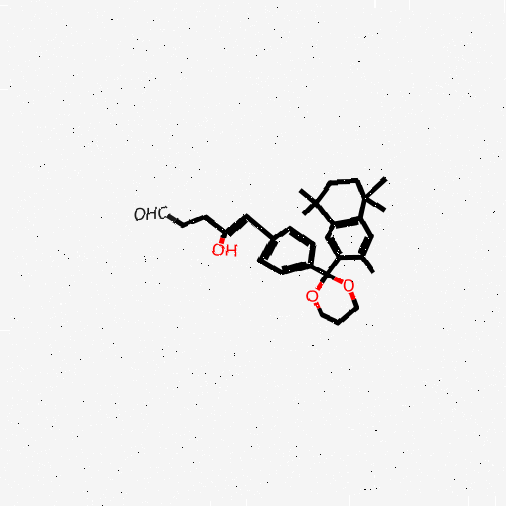 Cc1cc2c(cc1C1(c3ccc(/C=C(\O)CCC=O)cc3)OCCCO1)C(C)(C)CCC2(C)C